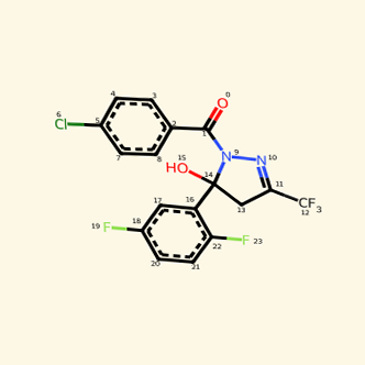 O=C(c1ccc(Cl)cc1)N1N=C(C(F)(F)F)CC1(O)c1cc(F)ccc1F